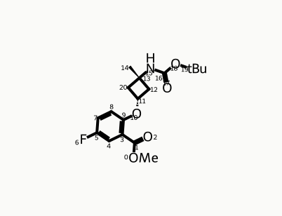 COC(=O)c1cc(F)ccc1O[C@H]1C[C@@](C)(NC(=O)OC(C)(C)C)C1